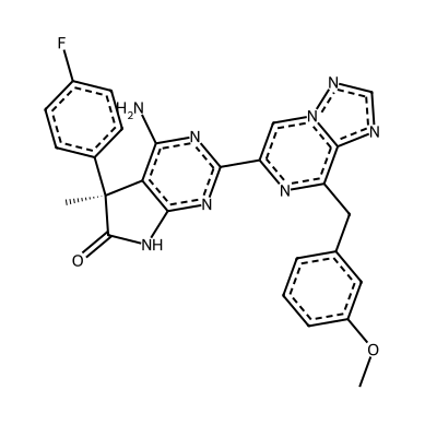 COc1cccc(Cc2nc(-c3nc(N)c4c(n3)NC(=O)[C@@]4(C)c3ccc(F)cc3)cn3ncnc23)c1